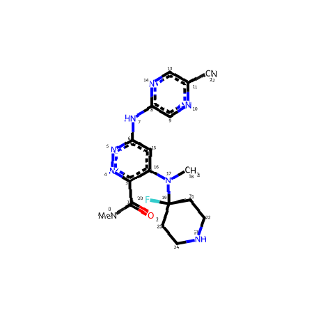 CNC(=O)c1nnc(Nc2cnc(C#N)cn2)cc1N(C)C1(F)CCNCC1